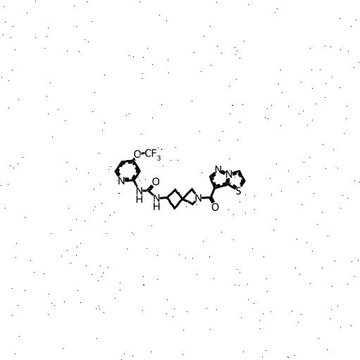 O=C(Nc1cc(OC(F)(F)F)ccn1)NC1CC2(C1)CN(C(=O)c1cnn3ccsc13)C2